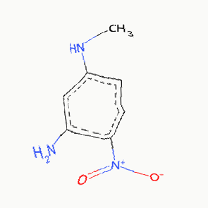 CNc1ccc([N+](=O)[O-])c(N)c1